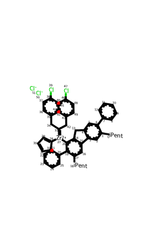 CCCC(C)c1cc2c(cc1-c1ccccc1)Cc1c-2cc(C(C)CCC)c(-c2ccccc2)[c]1[Zr+2]([C]1=CC=CC1)=[C](Cc1ccc(Cl)cc1)Cc1ccc(Cl)cc1.[Cl-].[Cl-]